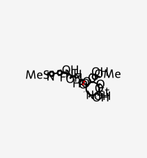 CC[C@H]1OC(=O)[C@H](C)C([C@H]2C[C@@](C)(OC)[C@@H](O)[C@H](C)O2)[C@H](C)[C@@H](O[C@H]2C[C@@H](N(C)CCC(=O)N[C@H](CF)[C@H](O)c3ccc(-c4ccc(SC)nc4)cc3)C[C@@H](C)O2)[C@](C)(O)C[C@@H](C)CN(C)[C@H](C)[C@@H](O)[C@]1(C)O